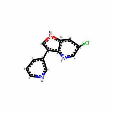 Clc1cnc2c(-c3cccnc3)coc2c1